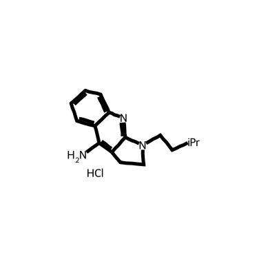 CC(C)CCN1CCc2c1nc1ccccc1c2N.Cl